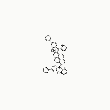 N#Cc1cc(-c2ccccc2)ccc1N(c1ccccn1)c1ccc2ccc3c4c(ccc1c24)=CC[C@H]3N(c1ccccn1)c1ccc(-c2ccccc2)cc1C#N